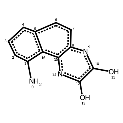 Nc1cccc2ccc3nc(O)c(O)nc3c12